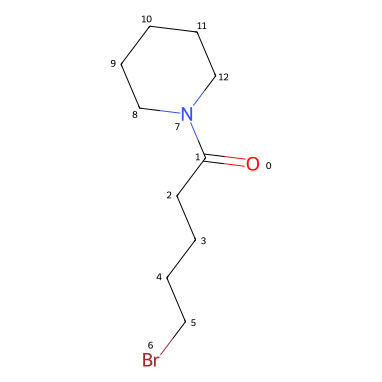 O=C(CCCCBr)N1CCCCC1